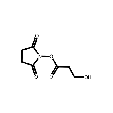 O=C(CCO)ON1C(=O)CCC1=O